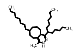 CCCCCCCCC1CCCC2C(C(CCCCC)CCCCCC)=NNC(C)=C2CC1